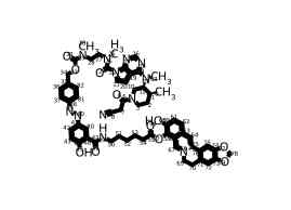 C[C@H]1CCN(C(=O)CC#N)C[C@H]1N(C)c1ncnc2c1ccn2C(=O)N(C)CCN(C)C(=O)OCc1ccc(/N=N/c2ccc(O)c(C(=O)NCCCCCC(=O)Oc3c(O)ccc4cc5[n+](cc34)CCc3cc4c(cc3-5)OCO4)c2)cc1